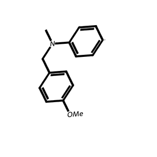 COc1ccc(CN(C)c2cc[c]cc2)cc1